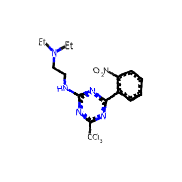 CCN(CC)CCNc1nc(-c2ccccc2[N+](=O)[O-])nc(C(Cl)(Cl)Cl)n1